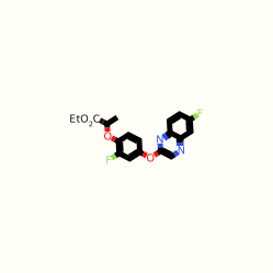 CCOC(=O)C(C)Oc1ccc(Oc2cnc3cc(F)ccc3n2)cc1F